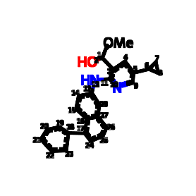 COC(O)c1cc(C2CC2)cnc1Nc1ccc2c(-c3ccccc3)cccc2c1